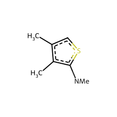 CNc1scc(C)c1C